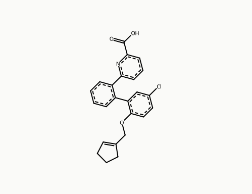 O=C(O)c1cccc(-c2ccccc2-c2cc(Cl)ccc2OCC2=CCCC2)n1